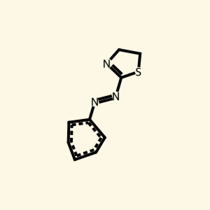 c1ccc(/N=N/C2=NCCS2)cc1